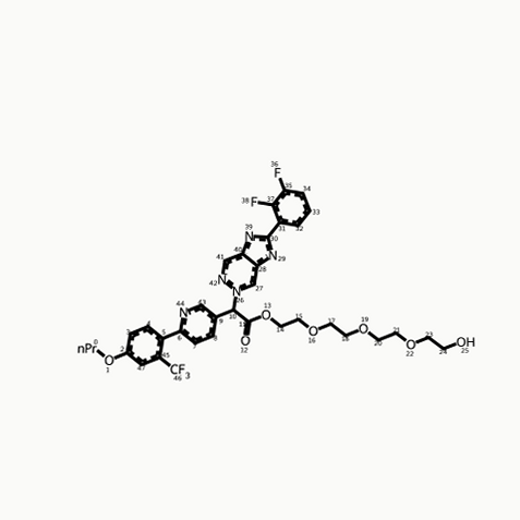 CCCOc1ccc(-c2ccc(C(C(=O)OCCOCCOCCOCCO)n3cc4nc(-c5cccc(F)c5F)nc-4cn3)cn2)c(C(F)(F)F)c1